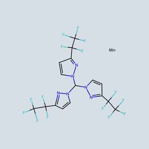 FC(F)(F)C(F)(F)c1ccn(C(n2ccc(C(F)(F)C(F)(F)F)n2)n2ccc(C(F)(F)C(F)(F)F)n2)n1.[Mn]